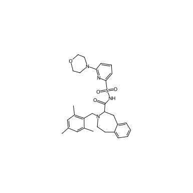 Cc1cc(C)c(CN2CCc3ccccc3CC2C(=O)NS(=O)(=O)c2cccc(N3CCOCC3)n2)c(C)c1